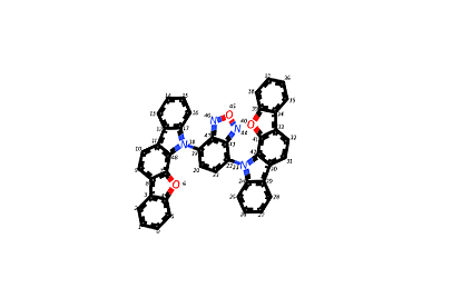 c1ccc2c(c1)oc1c2ccc2c3ccccc3n(-c3ccc(-n4c5ccccc5c5ccc6c7ccccc7oc6c54)c4nonc34)c21